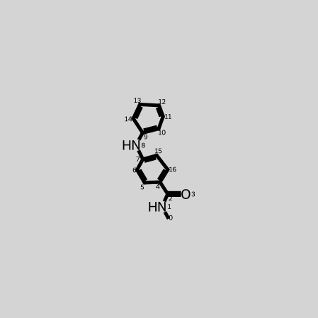 CNC(=O)c1ccc(Nc2ccccc2)cc1